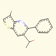 CC(Br)c1cc2scc(Cl)c2nc1-c1ccccc1